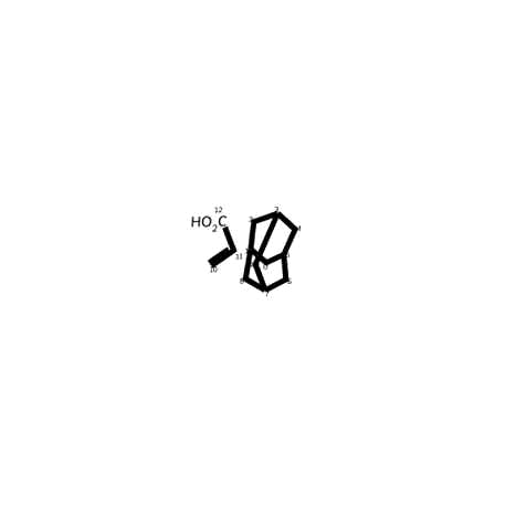 C1C2CC3CC1CC(C2)C3.C=CC(=O)O